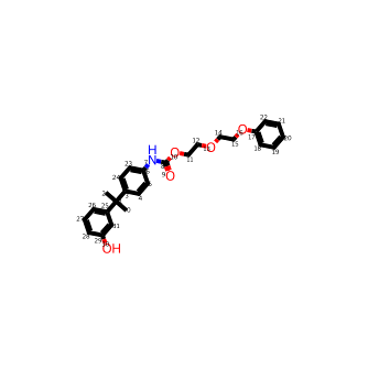 CC(C)(c1ccc(NC(=O)OCCOCCOc2ccccc2)cc1)c1cccc(O)c1